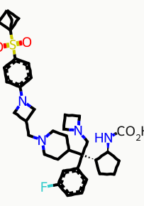 O=C(O)N[C@H]1CCC[C@@H]1C(CN1CCC1)(c1cccc(F)c1)C1CCN(CC2CN(c3ccc(S(=O)(=O)C45CC(C4)C5)cc3)C2)CC1